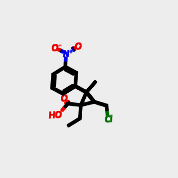 CCC1(C(=O)O)C(CCl)C1(C)c1cccc([N+](=O)[O-])c1